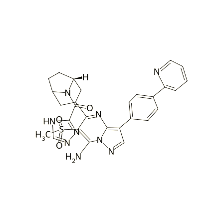 CS(=O)(=O)c1c(C2CC3CC[C@H](C2)N3C(=O)c2nnc[nH]2)nc2c(-c3ccc(-c4ccccn4)cc3)cnn2c1N